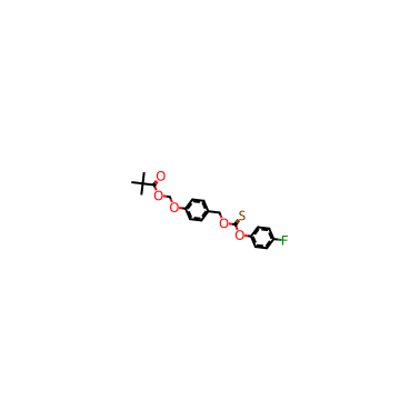 CC(C)(C)C(=O)OCOc1ccc(COC(=S)Oc2ccc(F)cc2)cc1